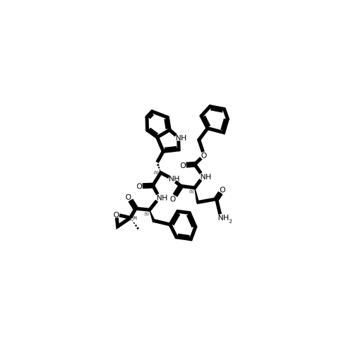 C[C@]1(C(=O)[C@H](Cc2ccccc2)NC(=O)[C@H](Cc2c[nH]c3ccccc23)NC(=O)[C@H](CC(N)=O)NC(=O)OCc2ccccc2)CO1